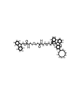 O=C(CCOCCNC(=O)OCC1c2ccccc2-c2ccccc21)NCCOCCC(=O)OC(c1ccccc1)(c1ccc(C2CCCCCCCCC2)cc1)c1ccccc1Cl